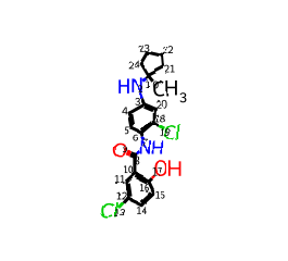 CC1(Nc2ccc(NC(=O)c3cc(Cl)ccc3O)c(Cl)c2)CCCC1